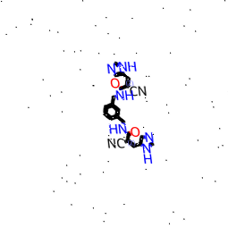 N#C/C(=C/c1cnc[nH]1)C(=O)NCc1cccc(CNC(=O)/C(C#N)=C\C2CN=CN2)c1